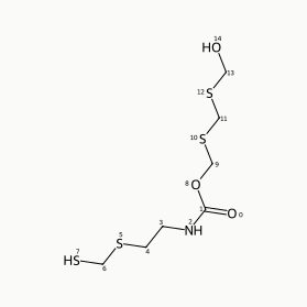 O=C(NCCSCS)OCSCSCO